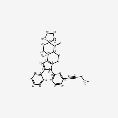 C[C@H]1C2CCc3c(nc(-c4ccccc4)n3-c3cccc(C#CCO)c3)[C@@]2(C)CCC12OCCO2